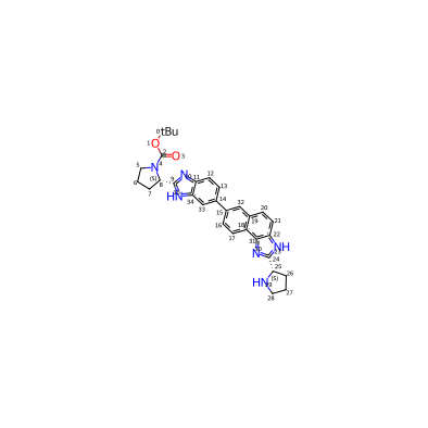 CC(C)(C)OC(=O)N1CCC[C@H]1c1nc2ccc(-c3ccc4c(ccc5[nH]c([C@@H]6CCCN6)nc54)c3)cc2[nH]1